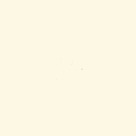 CNc1cc(C)c(C(F)(F)F)c(C(C)(C)C)n1